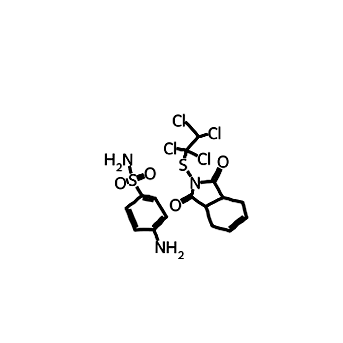 Nc1ccc(S(N)(=O)=O)cc1.O=C1C2CC=CCC2C(=O)N1SC(Cl)(Cl)C(Cl)Cl